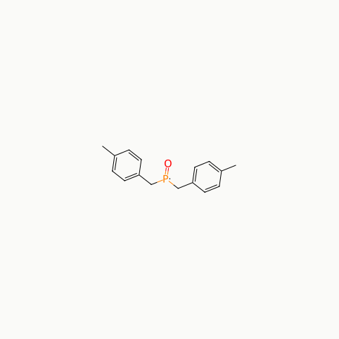 Cc1ccc(C[P](=O)Cc2ccc(C)cc2)cc1